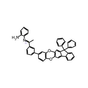 C/C(=N\c1ccccc1N)c1cccc(-c2ccc3c(c2)Oc2cc4c(cc2O3)-c2ccccc2C4(c2ccccc2)c2ccccc2)c1